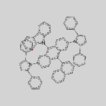 c1ccc(-c2ccc(-c3ccccc3)n2-c2ccc3c(-n4c5ccccc5c5ccccc54)c4cc(-n5c(-c6ccccc6)ccc5-c5ccccc5)ccc4c(-c4cccc5ccccc45)c3c2)cc1